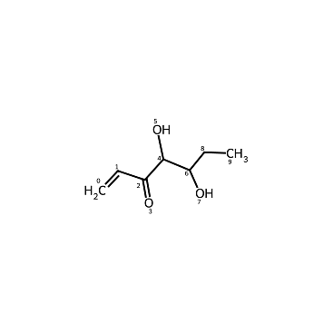 C=CC(=O)C(O)C(O)CC